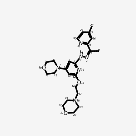 C/C(=N/Nc1cc(N2CCOCC2)cc(OCCN2CCOCC2)n1)c1cc(C)ccn1